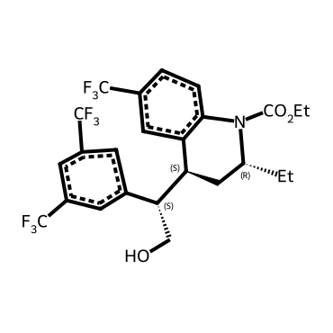 CCOC(=O)N1c2ccc(C(F)(F)F)cc2[C@H]([C@H](CO)c2cc(C(F)(F)F)cc(C(F)(F)F)c2)C[C@H]1CC